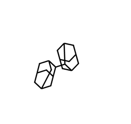 C1C2CC3CC1CC(C2)C3C1C2CC3CC(C2)CC1C3